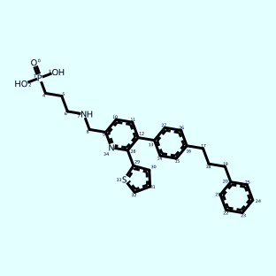 O=P(O)(O)CCCNCc1ccc(-c2ccc(CCCc3ccccc3)cc2)c(-c2cccs2)n1